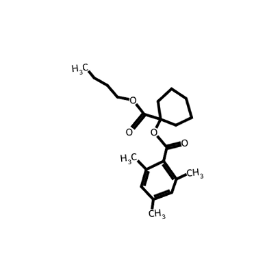 CCCCOC(=O)C1(OC(=O)c2c(C)cc(C)cc2C)CCCCC1